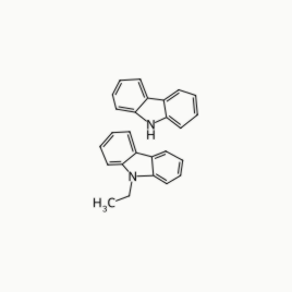 CCn1c2ccccc2c2ccccc21.c1ccc2c(c1)[nH]c1ccccc12